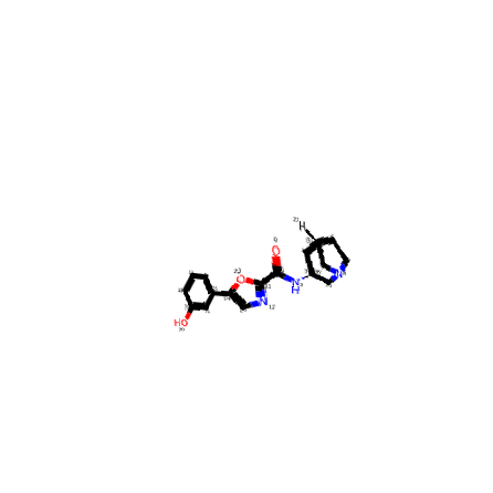 O=C(N[C@@H]1C[C@@H]2CCN(C2)C1)c1ncc(-c2cccc(O)c2)o1